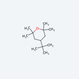 CC1(C)CC(C(C)(C)C)CC(C)(C)O1